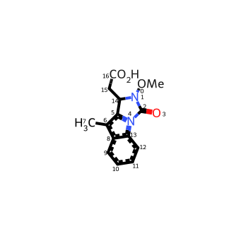 CON1C(=O)n2c(c(C)c3ccccc32)C1CC(=O)O